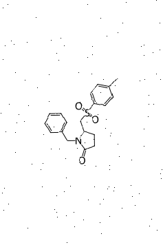 Cc1ccc(S(=O)(=O)CC2CCC(=O)N2Cc2ccccc2)cc1